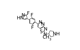 CN(c1nc2nnc(-c3cc(F)c(-c4c[nH]nc4F)cc3F)cc2s1)C1CCNCC1